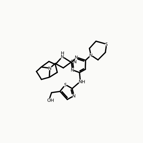 N#CCCN1C2CCC1CC(Nc1nc(Nc3ncc(CO)s3)cc(N3CCSCC3)n1)C2